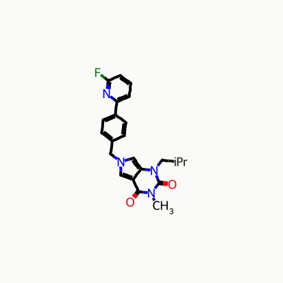 CC(C)Cn1c(=O)n(C)c(=O)c2cn(Cc3ccc(-c4cccc(F)n4)cc3)cc21